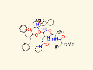 CN[C@H](C(=O)N[C@H](C(=O)N[C@@H](CC(=O)N1CCCC1)C(=O)N[C@H](C(=O)N[C@@H](CC(C)(C)C)C(O)C(=O)C(Cc1ccccc1)Cc1ccccc1)C1(C(=O)O)CCCC1)C(C)(C)C)C(C)C